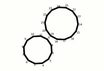 C1CCCCCCCCCCC1.C1CCCCCCCCCCCCC1